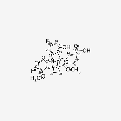 COCC1(c2c(-c3cccc(C(=O)O)c3)c3c(O)cc(F)cc3n2-c2ccc(F)c(OC)c2)CCC1